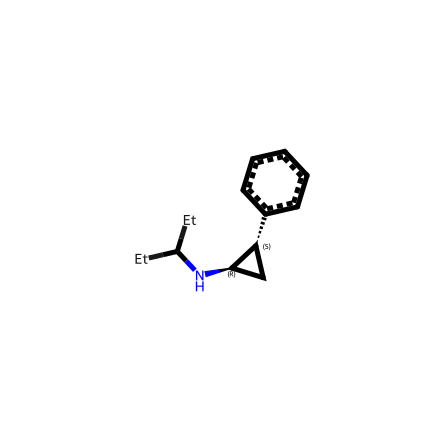 CCC(CC)N[C@@H]1C[C@H]1c1ccccc1